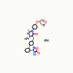 CCCc1nc(C)n(-c2ccc(OC3C[C@@H](C)O[C@@H](C)C3)cc2)c(=O)c1Cc1ccc(-c2ccccc2-c2noc(=O)[nH]2)cc1.[KH]